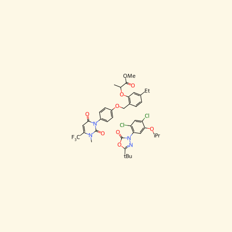 CC(C)Oc1cc(-n2nc(C(C)(C)C)oc2=O)c(Cl)cc1Cl.CCc1ccc(COc2ccc(-n3c(=O)cc(C(F)(F)F)n(C)c3=O)cc2)c(OC(C)C(=O)OC)c1